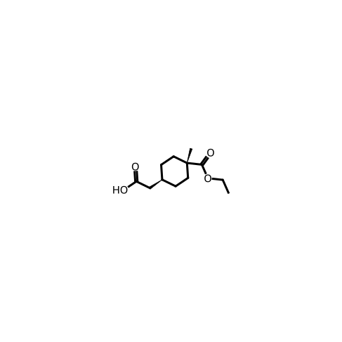 CCOC(=O)[C@]1(C)CC[C@@H](CC(=O)O)CC1